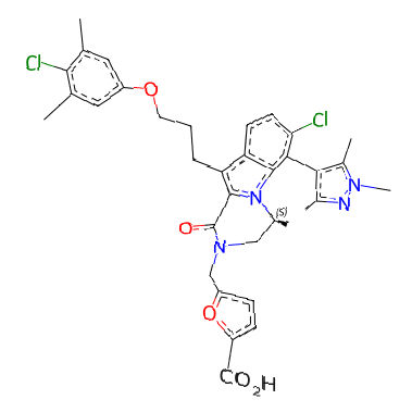 Cc1cc(OCCCc2c3n(c4c(-c5c(C)nn(C)c5C)c(Cl)ccc24)[C@@H](C)CN(Cc2ccc(C(=O)O)o2)C3=O)cc(C)c1Cl